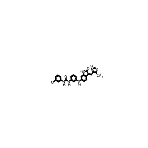 Cc1nc[nH]c1C=C1C(=O)Nc2cc(Nc3cccc(NC(=O)Nc4cccc(Cl)c4)c3)ccc21